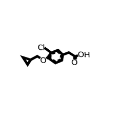 O=C(O)Cc1ccc(OCC2CC2)c(Cl)c1